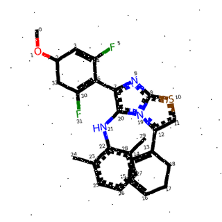 COC1C=C(F)C(c2nc3scc(C4=CC=CCC4)n3c2Nc2c(C)cccc2C)=C(F)C1